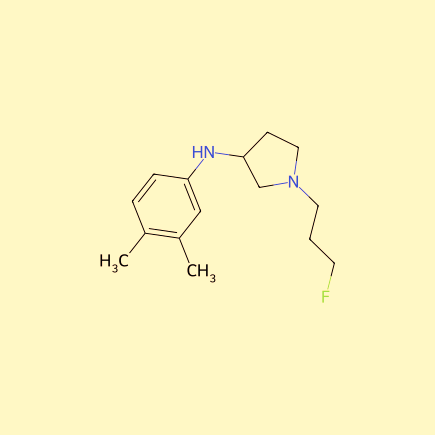 Cc1ccc(NC2CCN(CCCF)C2)cc1C